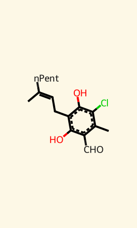 CCCCCC(C)=CCc1c(O)c(Cl)c(C)c(C=O)c1O